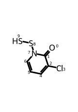 O=c1c(Cl)cccn1SS